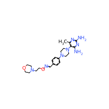 Cc1nc(N)nc(N)c1N1CCN(c2ccc(C=NOCCN3CCOCC3)cc2)CC1